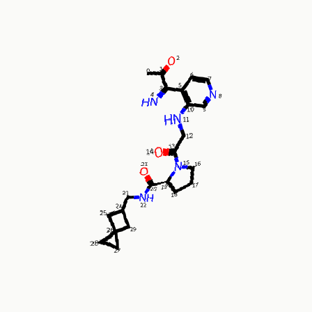 CC(=O)C(=N)c1ccncc1NCC(=O)N1CCC[C@H]1C(=O)NCC1CC2(CC2)C1